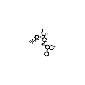 C=CCn1c(=O)c2cnc(Nc3cc4c(c(N5CCCCC5)c3)CCN(C)C4)nc2n1-c1cccc(N=S(C)(C)=O)n1